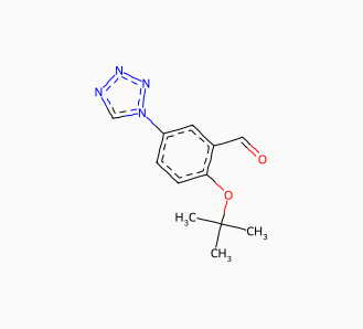 CC(C)(C)Oc1ccc(-n2cnnn2)cc1C=O